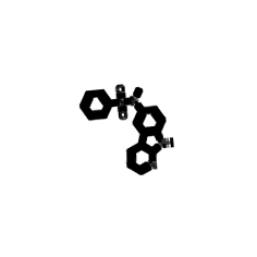 CN(c1ccc2c(c1)C1C=CC=NC1N2)S(=O)(=O)c1ccccc1